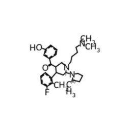 Cc1c(F)cccc1C1[CH]C(N2CCC[C@H]2C)N(CCCCN(C)C)CC1C(=O)c1cccc(O)c1